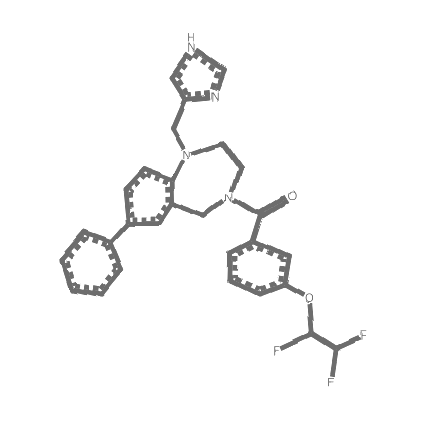 O=C(c1cccc(OC(F)C(F)F)c1)N1CCN(Cc2c[nH]cn2)c2ccc(-c3ccccc3)cc2C1